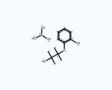 CC(C)(O)C(C)(C)Oc1ccccc1C#N.OB(O)O